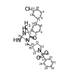 CC1(c2cccc(-c3cccc(Cl)c3)c2)NC(=N)N(C[C@H]2CCN(S(=O)(=O)c3ccccc3)C2)C1=O